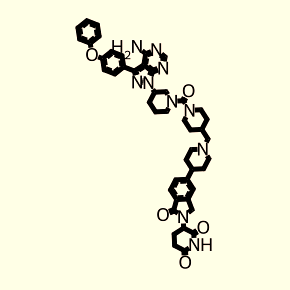 Nc1ncnc2c1c(-c1ccc(Oc3ccccc3)cc1)nn2C1CCCN(C(=O)N2CCC(CN3CCC(c4ccc5c(c4)CN(C4CCC(=O)NC4=O)C5=O)CC3)CC2)C1